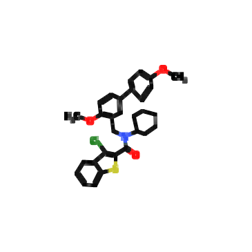 COc1ccc(-c2ccc(OC)c(CN(C(=O)c3sc4ccccc4c3Cl)C3CCCCC3)c2)cc1